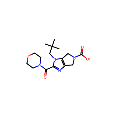 CC(C)(C)Cn1c(C(=O)N2CCOCC2)nc2c1CN(C(=O)O)C2